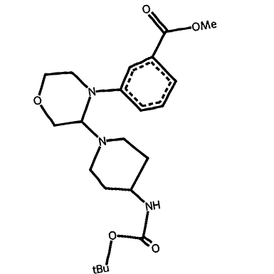 COC(=O)c1cccc(N2CCOCC2N2CCC(NC(=O)OC(C)(C)C)CC2)c1